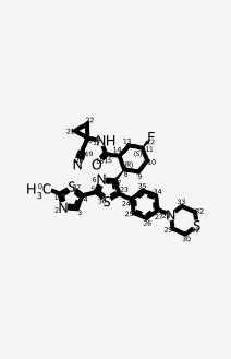 Cc1ncc(-c2nc([C@@H]3CC[C@H](F)CC3C(=O)NC3(C#N)CC3)c(-c3ccc(N4CCSCC4)cc3)s2)s1